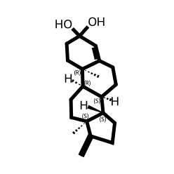 C=C1CC[C@H]2[C@@H]3CCC4=CC(O)(O)CC[C@]4(C)[C@@H]3CC[C@]12C